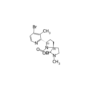 Cc1c(Br)ccnc1[C@@H]1CC[C@]2(CCN(C)C2=O)N1C(=O)O